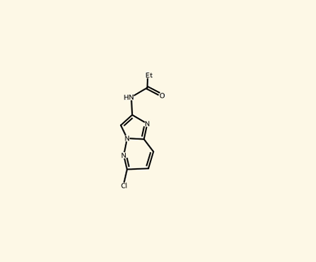 CCC(=O)Nc1cn2nc(Cl)ccc2n1